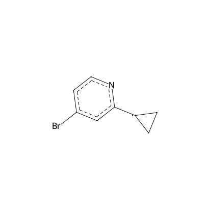 Brc1ccnc([C]2CC2)c1